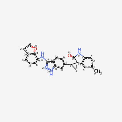 Cc1ccc2c(c1)[C@]1(C[C@H]1c1ccc3c(Nc4cccc5ccoc45)n[nH]c3c1)C(=O)N2